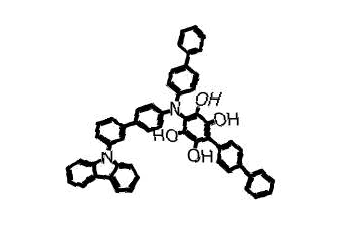 Oc1c(O)c(N(c2ccc(-c3ccccc3)cc2)c2ccc(-c3cccc(-n4c5ccccc5c5ccccc54)c3)cc2)c(O)c(O)c1-c1ccc(-c2ccccc2)cc1